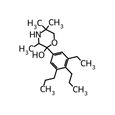 CCCc1cc(C2(O)OCC(C)(C)NC2C)cc(CC)c1CCC